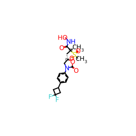 C[C@@](C[C@H]1CN(c2ccc(C3CC(F)(F)C3)cc2)C(=O)O1)(C(=O)NO)S(C)(=O)=O